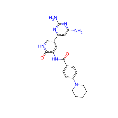 Nc1cc(-c2c[nH]c(=O)c(NC(=O)c3ccc(N4CCCCC4)cc3)c2)nc(N)n1